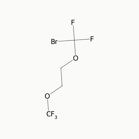 FC(F)(F)OCCOC(F)(F)Br